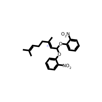 CC(C)=CCC/C(C)=C/C(Oc1ccccc1[N+](=O)[O-])Oc1ccccc1[N+](=O)[O-]